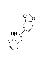 c1cnc2[nH]c(-c3ccc4c(c3)OCO4)cc2c1